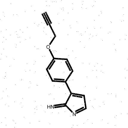 C#CCOc1ccc(C2=CC=NC2=N)cc1